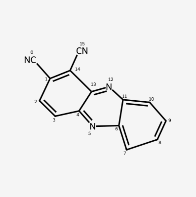 N#Cc1ccc2nc3ccccc3nc2c1C#N